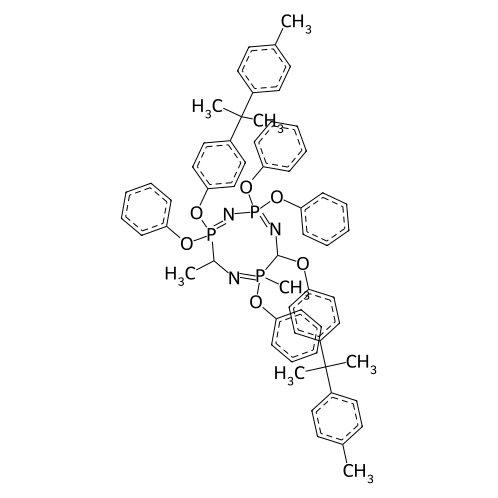 Cc1ccc(C(C)(C)c2ccc(OC3N=P(Oc4ccccc4)(Oc4ccccc4)N=P(Oc4ccccc4)(Oc4ccc(C(C)(C)c5ccc(C)cc5)cc4)C(C)N=P3(C)Oc3ccccc3)cc2)cc1